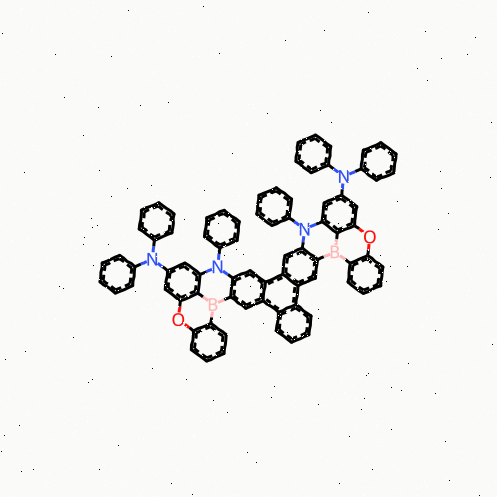 c1ccc(N(c2ccccc2)c2cc3c4c(c2)N(c2ccccc2)c2cc5c(cc2B4c2ccccc2O3)c2ccccc2c2cc3c(cc25)N(c2ccccc2)c2cc(N(c4ccccc4)c4ccccc4)cc4c2B3c2ccccc2O4)cc1